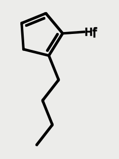 CCCCC1=[C]([Hf])C=CC1